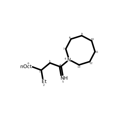 CCCCCCCCC(CC)CC(=N)N1CCCCCCC1